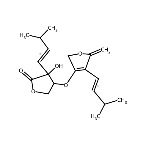 C=C1OCC(OC2COC(=O)C2(O)/C=C/C(C)C)=C1/C=C/C(C)C